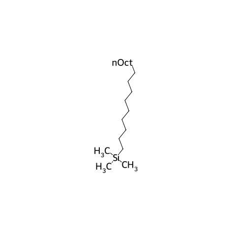 [CH2]CCCCCCCCCCCCCCCC[Si](C)(C)C